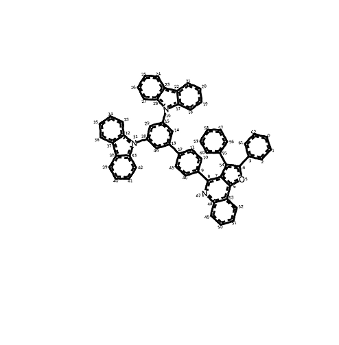 c1ccc(-c2oc3c(c(-c4ccc(-c5cc(-n6c7ccccc7c7ccccc76)cc(-n6c7ccccc7c7ccccc76)c5)cc4)nc4ccccc43)c2-c2ccccc2)cc1